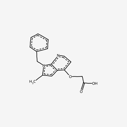 Cc1cc2c(OCC(=O)O)ccnc2n1Cc1ccccc1